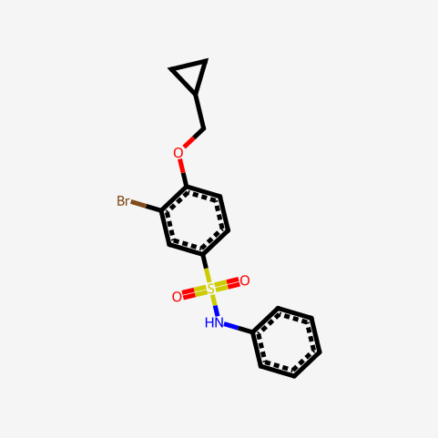 O=S(=O)(Nc1ccccc1)c1ccc(OCC2CC2)c(Br)c1